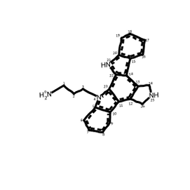 NCCCn1c2ccccc2c2c3c(c4c5ccccc5[nH]c4c21)CNC3